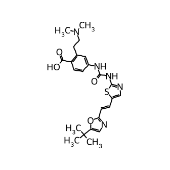 CN(C)CCc1cc(NC(=O)Nc2ncc(C=Cc3ncc(C(C)(C)C)o3)s2)ccc1C(=O)O